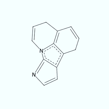 C1=Cn2c3c(c4c2=C(C=CC4)C1)C=CN=3